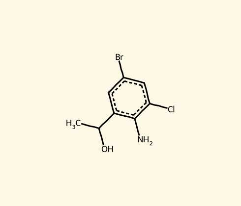 CC(O)c1cc(Br)cc(Cl)c1N